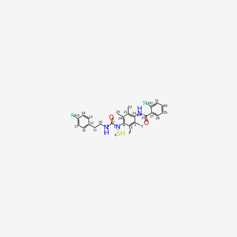 Cc1c(C)c(N(S)C(=O)NCCc2ccc(F)cc2)c(C)c(C)c1NC(=O)c1ccccc1F